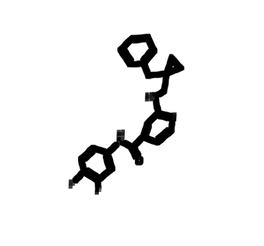 O=C(Nc1ccc(F)c(F)c1)c1ccnc(NCC2(Cc3ccccc3)CC2)c1